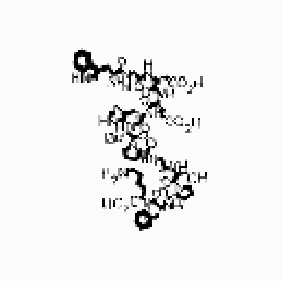 CC[C@H](C)[C@H](NC(=O)[C@H](Cc1c[nH]cn1)NC(=O)[C@H](CCC(=O)O)NC(=O)[C@H](CC(=O)O)NC(=O)CNC(=O)[C@@H](N)Cc1c[nH]c2ccccc12)C(=O)N1CCC[C@H]1C(=O)NCC(=O)N[C@@H](CO)C(=O)N1CCC[C@H]1C(=O)N[C@@H](Cc1ccccc1)C(=O)N[C@@H](CCCCN)C(=O)O